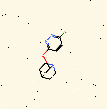 Clc1ccc(OC2CC3CCN2CC3)nn1